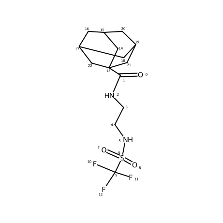 O=C(NCCNS(=O)(=O)C(F)(F)F)C12CC3CC(CC(C3)C1)C2